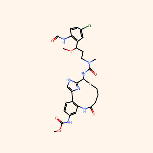 COC(=O)Nc1ccc2c(c1)NC(=O)CCCCC(NC(=O)N(C)CCC(OC)c1cc(Cl)ccc1NC=O)c1nc-2c[nH]1